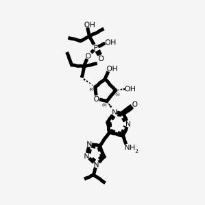 CCC(C)(C[C@H]1O[C@@H](n2cc(-c3cn(C(C)C)nn3)c(N)nc2=O)[C@@H](O)C1O)OP(=O)(O)C(C)(O)CC